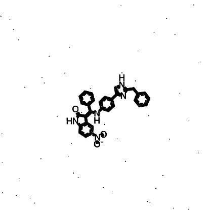 O=C1Nc2ccc([N+](=O)[O-])cc2C1=C(Nc1ccc(-c2c[nH]c(Cc3ccccc3)n2)cc1)c1ccccc1